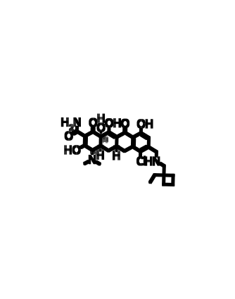 CCC1(CNCc2cc(O)c3c(c2Cl)C[C@H]2C[C@H]4[C@H](N(C)C)C(O)=C(C(N)=O)C(=O)[C@@]4(O)C(O)=C2C3=O)CCC1